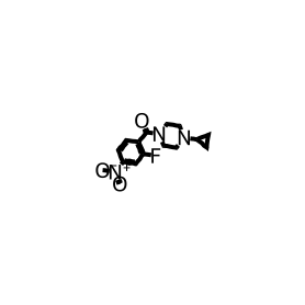 O=C(c1ccc([N+](=O)[O-])cc1F)N1CCN(C2CC2)CC1